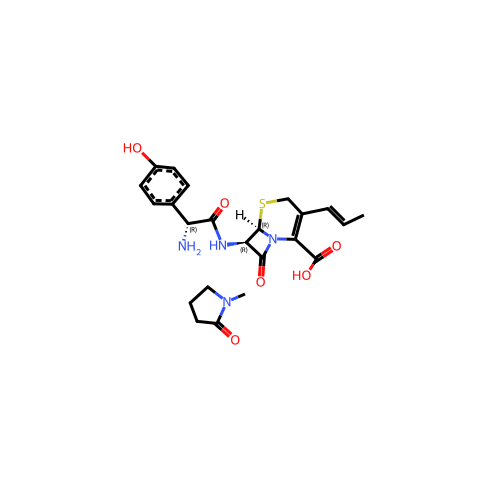 CC=CC1=C(C(=O)O)N2C(=O)[C@@H](NC(=O)[C@H](N)c3ccc(O)cc3)[C@H]2SC1.CN1CCCC1=O